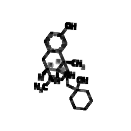 CN1CC[C@@]2(C)c3cc(O)ccc3C[C@@H]1[C@H]2NCC1(O)CCCCC1